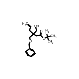 C=CCC(CO)(COCc1ccccc1)CC(=O)OC(C)(C)C